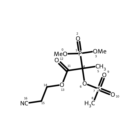 COP(=O)(OC)C(C)(OS(C)(=O)=O)C(=O)OCCC#N